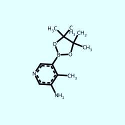 Cc1c(N)cncc1B1OC(C)(C)C(C)(C)O1